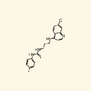 Cc1ccc(NC(=S)NCCCNc2ccnc3cc(Cl)ccc23)cc1